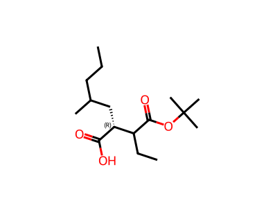 CCCC(C)C[C@@H](C(=O)O)C(CC)C(=O)OC(C)(C)C